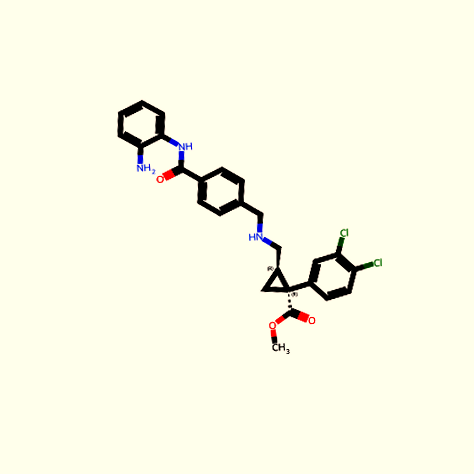 COC(=O)[C@]1(c2ccc(Cl)c(Cl)c2)C[C@H]1CNCc1ccc(C(=O)Nc2ccccc2N)cc1